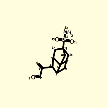 C=C(C=O)C1C2CC3CC1CC(S(N)(=O)=O)(C3)C2